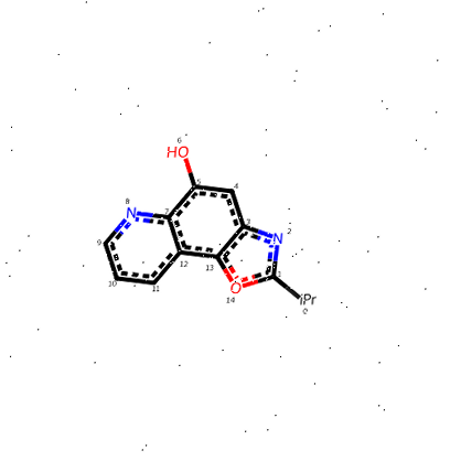 CC(C)c1nc2cc(O)c3ncccc3c2o1